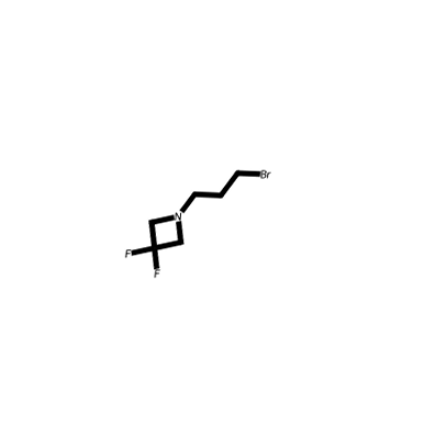 FC1(F)CN(CCCBr)C1